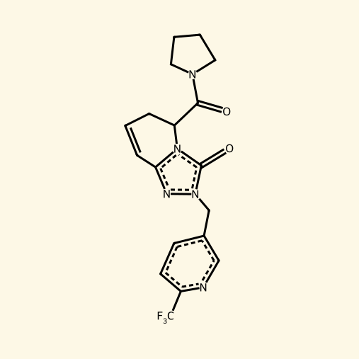 O=C(C1CC=Cc2nn(Cc3ccc(C(F)(F)F)nc3)c(=O)n21)N1CCCC1